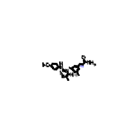 Cc1cc(/C=C/C(N)=O)cc(C)c1Nc1nc(Nc2ccc(C#N)cc2)nnc1C